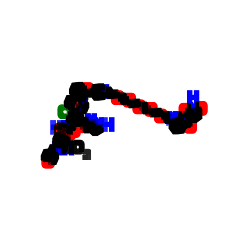 O=C1CCC(N2Cc3c(NCCOCCOCCOCCOCCOCCCN4CCC(COc5cccc(-c6ccc(Cl)cc6)c5CN5CCN(c6ccc(C(=O)NS(=O)(=O)c7ccc(NCC8CCOCC8)c([N+](=O)[O-])c7)c(Oc7cnc8[nH]ccc8c7)c6)CC5)CC4)cccc3C2=O)C(=O)N1